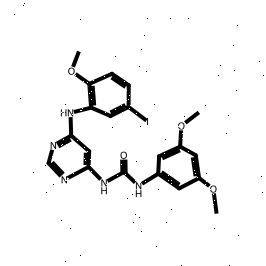 COc1cc(NC(=O)Nc2cc(Nc3cc(I)ccc3OC)ncn2)cc(OC)c1